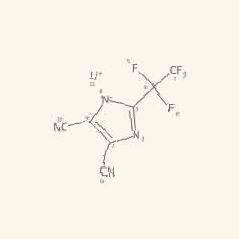 N#Cc1nc(C(F)(F)C(F)(F)F)[n-]c1C#N.[Li+]